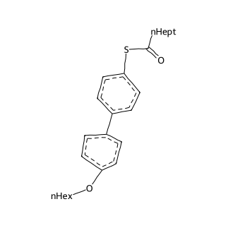 CCCCCCCC(=O)Sc1ccc(-c2ccc(OCCCCCC)cc2)cc1